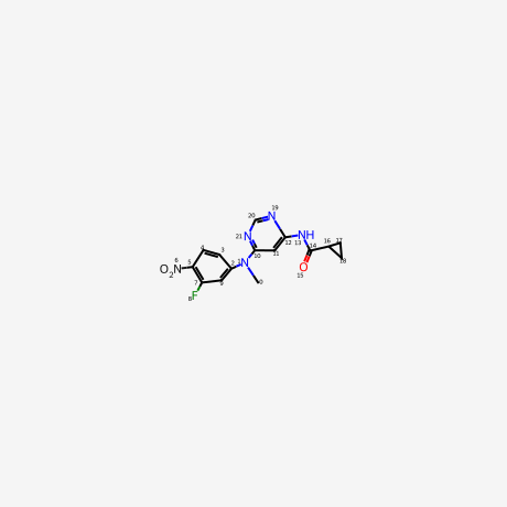 CN(c1ccc([N+](=O)[O-])c(F)c1)c1cc(NC(=O)C2CC2)ncn1